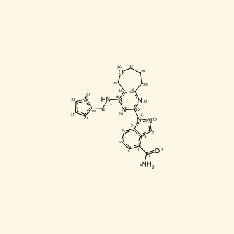 NC(=O)c1cccc2c1cnn2-c1nc2c(c(NCc3cccs3)n1)COCCC2